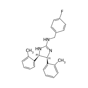 Cc1ccccc1[C@H]1NC(NCc2ccc(F)cc2)=N[C@H]1c1ccccc1C